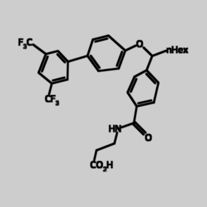 CCCCCCC(Oc1ccc(-c2cc(C(F)(F)F)cc(C(F)(F)F)c2)cc1)c1ccc(C(=O)NCCC(=O)O)cc1